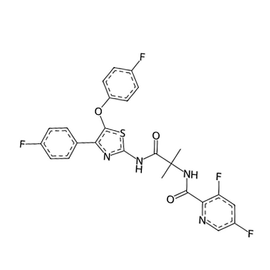 CC(C)(NC(=O)c1ncc(F)cc1F)C(=O)Nc1nc(-c2ccc(F)cc2)c(Oc2ccc(F)cc2)s1